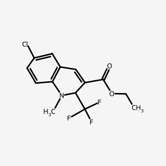 CCOC(=O)C1=Cc2cc(Cl)ccc2N(C)C1C(F)(F)F